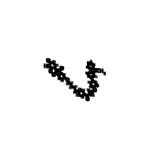 Cn1c2ccncc2c2ccc(-c3ccc(OC4CN(C(=O)C5CCN(CCCCCOc6ccc7c(c6)C(=O)N(C6CCC(=O)NC6=O)C7=O)CC5)C4)nc3)cc21